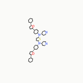 c1ccc(-c2ccc(-c3ccc(N(c4ccncc4)c4ccc(N(c5ccncc5)c5ccc(-c6ccc(-c7ccccc7)o6)cc5)s4)cc3)o2)cc1